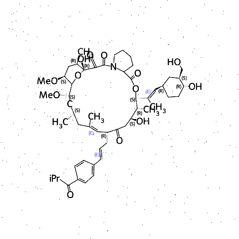 CO[C@H]1C[C@@H](C)C/C(C)=C/[C@@H](C/C=C/c2ccc(C(=O)C(C)C)cc2)C(=O)C[C@H](O)[C@@H](C)[C@@H](/C(C)=C/[C@@H]2CC[C@@H](O)[C@H](CO)C2)OC(=O)C2CCCCN2C(=O)C(=O)[C@]2(O)OC1[C@@H](OC)C[C@H]2C